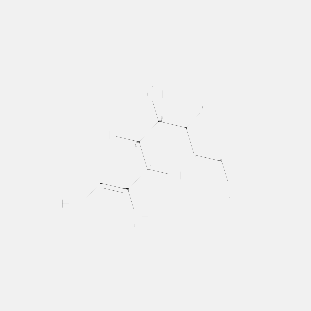 C/C=C(\C)C(C)C(F)C(C)C(C)CCC